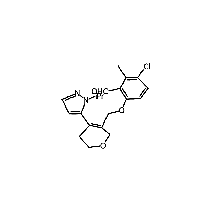 Cc1c(Cl)ccc(OCC2=C(c3ccnn3C(C)C)CCOC2)c1C=O